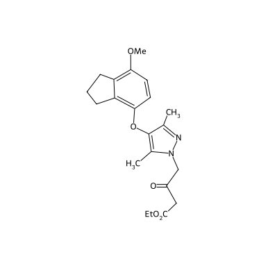 CCOC(=O)CC(=O)Cn1nc(C)c(Oc2ccc(OC)c3c2CCC3)c1C